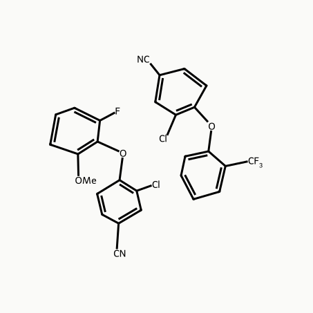 COc1cccc(F)c1Oc1ccc(C#N)cc1Cl.N#Cc1ccc(Oc2ccccc2C(F)(F)F)c(Cl)c1